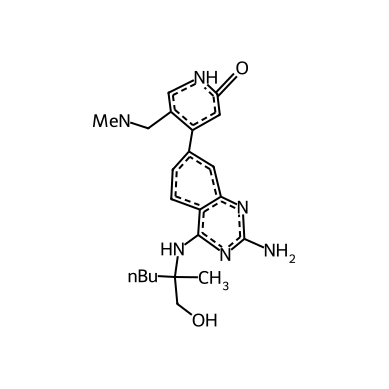 CCCCC(C)(CO)Nc1nc(N)nc2cc(-c3cc(=O)[nH]cc3CNC)ccc12